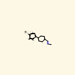 C/C=C/C1CCC(c2ccc(OCCCC)c(F)c2F)CC1